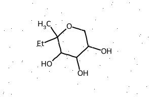 CCC1(C)OCC(O)C(O)C1O